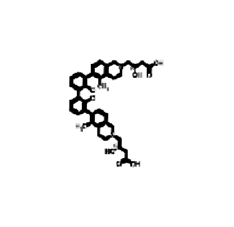 Cc1c(-c2cccc(-c3cccc(-c4ccc5c(c4C)CCN(C[C@@H](O)CC(=O)O)C5)c3Cl)c2Cl)ccc2c1CCN(C[C@@H](O)CC(=O)O)C2